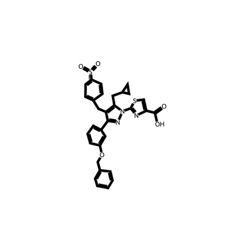 O=C(O)c1csc(-n2nc(-c3cccc(OCc4ccccc4)c3)c(Cc3ccc([SH](=O)=O)cc3)c2CC2CC2)n1